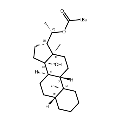 C[C@H](OC(=O)C(C)(C)C)[C@H]1CC[C@]2(O)[C@@H]3CC[C@H]4CCCC[C@]4(C)[C@H]3CC[C@]12C